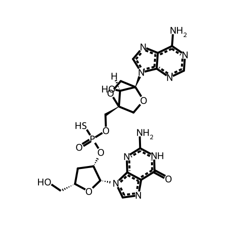 Nc1nc2c(ncn2[C@@H]2O[C@H](CO)C[C@@H]2OP(=O)(S)OC[C@@]23CO[C@@](n4cnc5c(N)ncnc54)(CO2)[C@@H]3O)c(=O)[nH]1